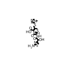 Cn1cnnc1SCC1=C(C(=O)O)N2C(=O)C(NC(=O)C(O)c3csc(N)n3)[C@H]2SC1